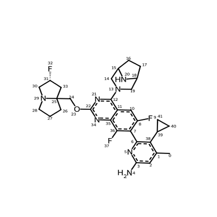 Cc1cc(N)nc(-c2c(F)cc3c(N4CC5CCC(C4)N5)nc(OCC45CCCN4C[C@H](F)C5)nc3c2F)c1C1CC1